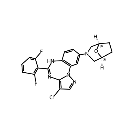 Fc1cccc(F)c1C1=Nc2c(Cl)cnn2-c2cc(N3C[C@H]4CC[C@@H](C3)O4)ccc2N1